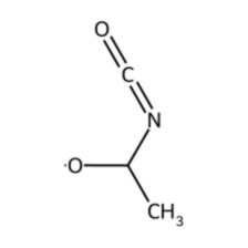 CC([O])N=C=O